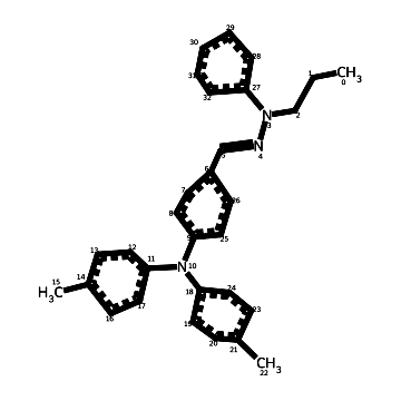 CCCN(/N=C/c1ccc(N(c2ccc(C)cc2)c2ccc(C)cc2)cc1)c1ccccc1